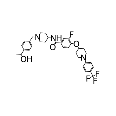 CC(O)c1ccc(CN2CCC(NC(=O)c3ccc(OC4CCN(c5ccc(C(F)(F)F)cc5)CC4)c(F)c3)CC2)cc1